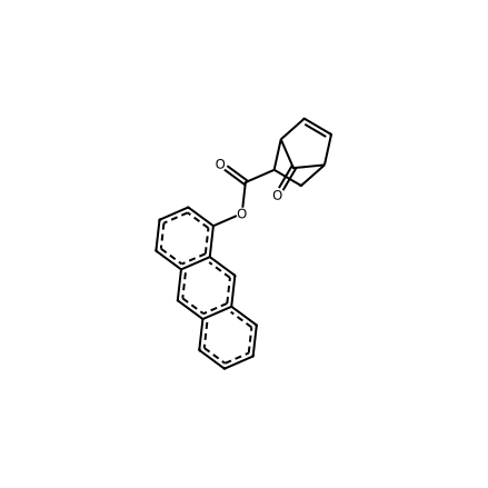 O=C1C2C=CC1C(C(=O)Oc1cccc3cc4ccccc4cc13)C2